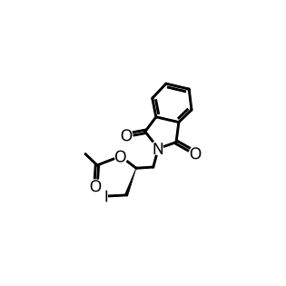 CC(=O)O[C@H](CI)CN1C(=O)c2ccccc2C1=O